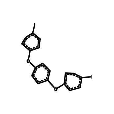 Ic1ccc(Oc2ccc(Oc3ccc(I)cc3)cc2)cc1